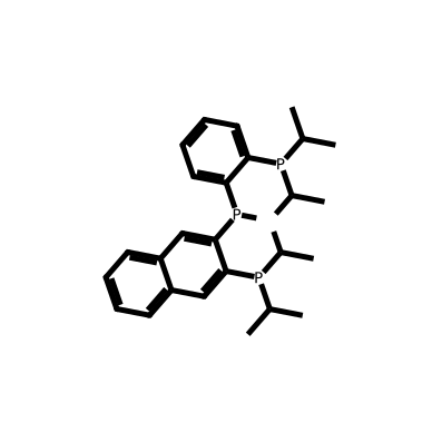 CC(C)P(c1ccccc1P(C)c1cc2ccccc2cc1P(C(C)C)C(C)C)C(C)C